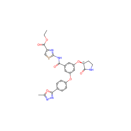 CCOC(=O)c1csc(NC(=O)c2cc(Oc3ccc(-c4nnc(C)o4)cc3)cc(O[C@H]3CCNC3=O)c2)n1